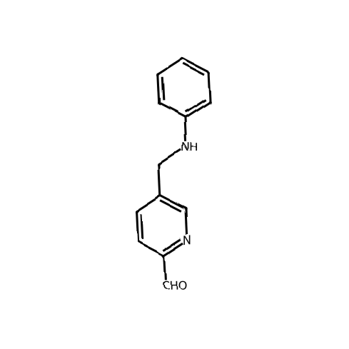 O=Cc1ccc(CNc2ccccc2)cn1